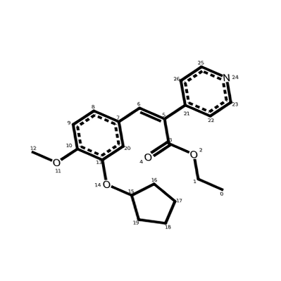 CCOC(=O)C(=Cc1ccc(OC)c(OC2CCCC2)c1)c1ccncc1